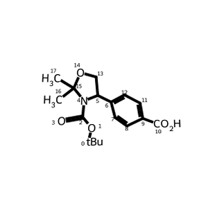 CC(C)(C)OC(=O)N1C(c2ccc(C(=O)O)cc2)COC1(C)C